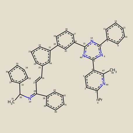 CCCc1ccc(-c2nc(-c3ccccc3)nc(-c3cccc(-c4cccc(/C=C/C(=N\C(C)c5ccccc5)c5ccccc5)c4)c3)n2)c(C)n1